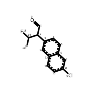 O=CC(c1ccc2cc(Cl)ccc2c1)C(F)F